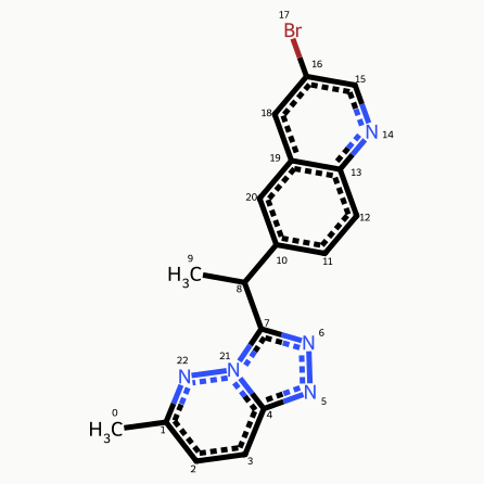 Cc1ccc2nnc(C(C)c3ccc4ncc(Br)cc4c3)n2n1